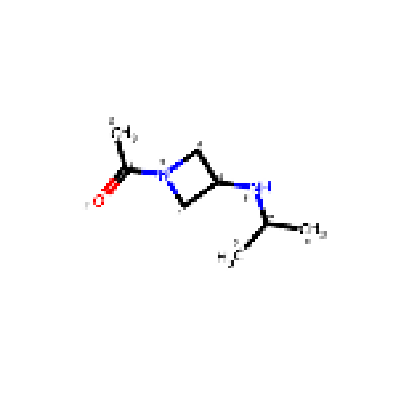 CC(=O)N1CC(NC(C)C)C1